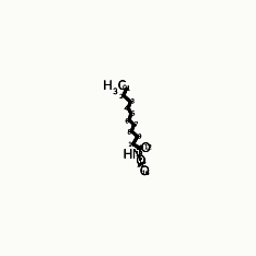 CCCCCCCCCCCC(=O)NOC=O